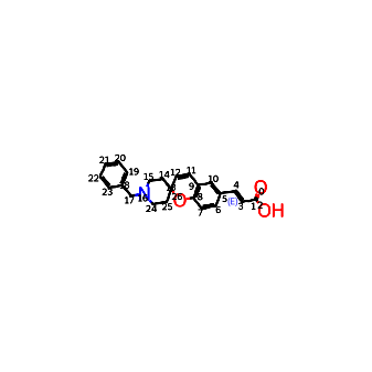 O=C(O)/C=C/c1ccc2c(c1)C=CC1(CCN(Cc3ccccc3)CC1)O2